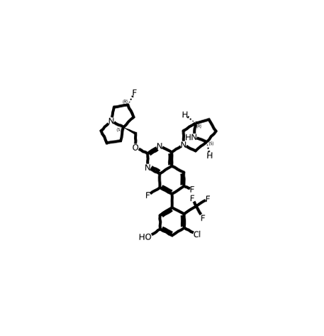 Oc1cc(Cl)c(C(F)(F)F)c(-c2c(F)cc3c(N4C[C@H]5CC[C@@H](C4)N5)nc(OC[C@@]45CCCN4C[C@H](F)C5)nc3c2F)c1